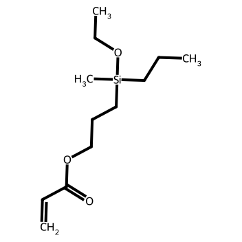 C=CC(=O)OCCC[Si](C)(CCC)OCC